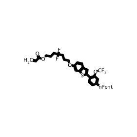 C=CC(=O)OCCCC(F)(F)CCCOc1ccc2cc(-c3ccc(CCCCC)cc3OC(F)(F)F)sc2c1